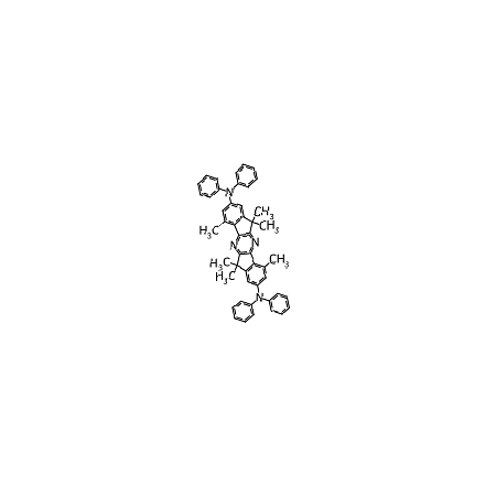 Cc1cc(N(c2ccccc2)c2ccccc2)cc2c1-c1nc3c(nc1C2(C)C)-c1c(C)cc(N(c2ccccc2)c2ccccc2)cc1C3(C)C